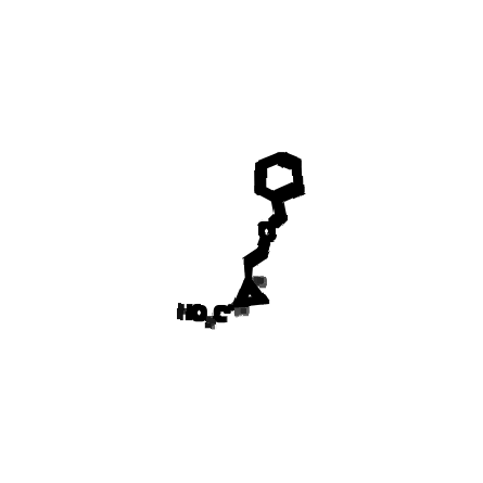 O=C(O)[C@H]1C[C@@H]1CCOCc1ccccc1